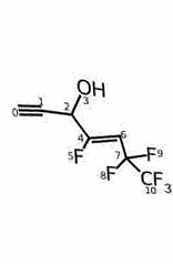 C#CC(O)/C(F)=C/C(F)(F)C(F)(F)F